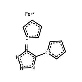 [Fe+2].c1cc[c-](-c2nnn[nH]2)c1.c1cc[cH-]c1